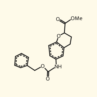 COC(=O)C1CCc2cc(NC(=O)OCc3ccccc3)ccc2O1